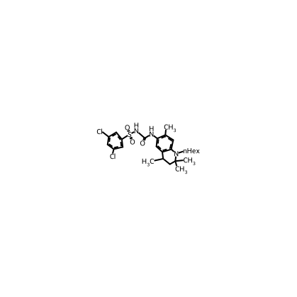 CCCCCCN1c2cc(C)c(NC(=O)NS(=O)(=O)c3cc(Cl)cc(Cl)c3)cc2C(C)CC1(C)C